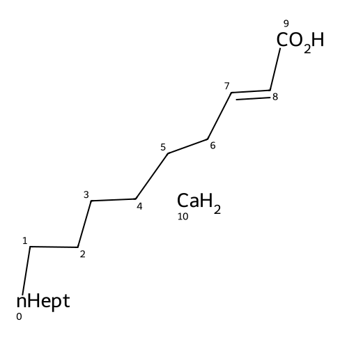 CCCCCCCCCCCCCC=CC(=O)O.[CaH2]